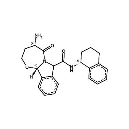 N[C@H]1CCO[C@H]2c3ccccc3C(C(=O)N[C@@H]3CCCc4ccccc43)N2C1=O